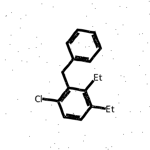 CCc1ccc(Cl)c(Cc2ccccc2)c1CC